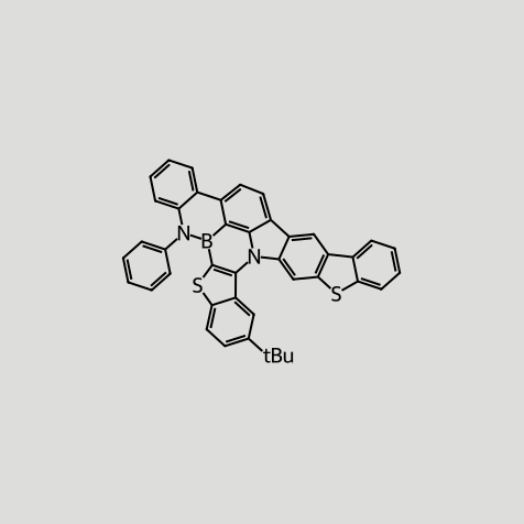 CC(C)(C)c1ccc2sc3c(c2c1)-n1c2cc4sc5ccccc5c4cc2c2ccc4c(c21)B3N(c1ccccc1)c1ccccc1-4